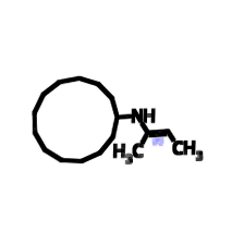 C/C=C(\C)NC1CCCCCCCCCCCC1